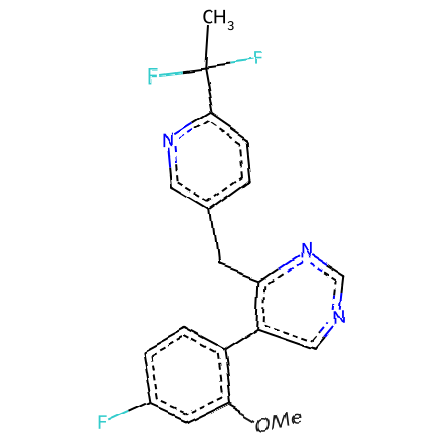 COc1cc(F)ccc1-c1cncnc1Cc1ccc(C(C)(F)F)nc1